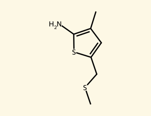 CSCc1cc(C)c(N)s1